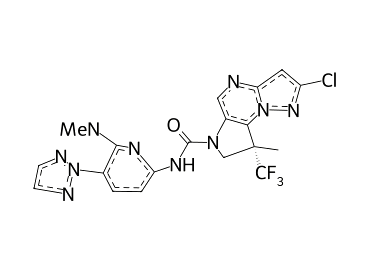 CNc1nc(NC(=O)N2C[C@@](C)(C(F)(F)F)c3c2cnc2cc(Cl)nn32)ccc1-n1nccn1